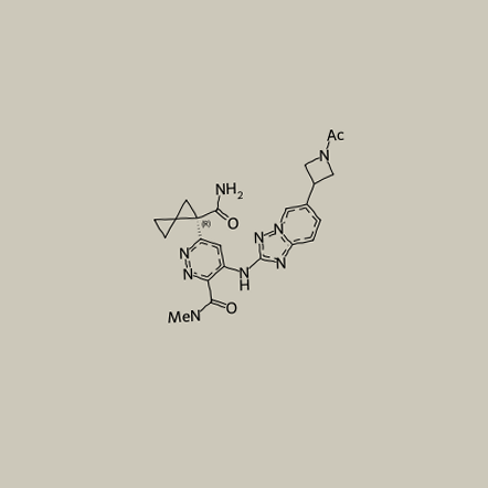 CNC(=O)c1nnc([C@@]2(C(N)=O)CC23CC3)cc1Nc1nc2ccc(C3CN(C(C)=O)C3)cn2n1